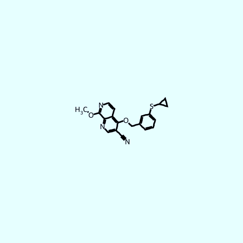 COc1nccc2c(OCc3cccc(SC4CC4)c3)c(C#N)cnc12